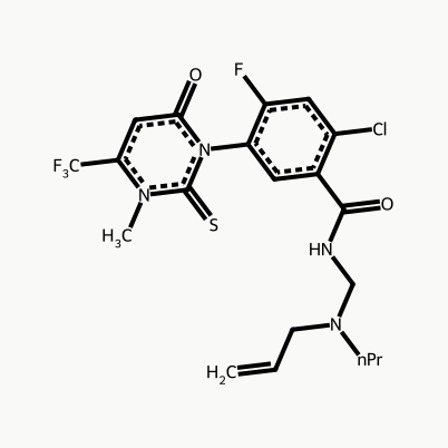 C=CCN(CCC)CNC(=O)c1cc(-n2c(=O)cc(C(F)(F)F)n(C)c2=S)c(F)cc1Cl